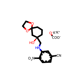 N#Cc1ccc([N+](=O)[O-])c(NC[C@@]2(O)CCCC3(C2)OCCO3)c1.O=C([O-])[O-].[K+].[K+]